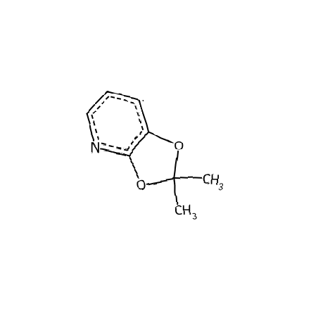 CC1(C)Oc2[c]ccnc2O1